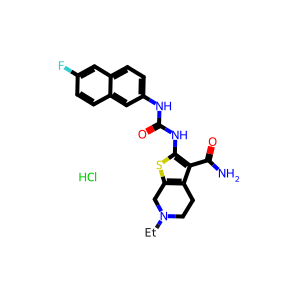 CCN1CCc2c(sc(NC(=O)Nc3ccc4cc(F)ccc4c3)c2C(N)=O)C1.Cl